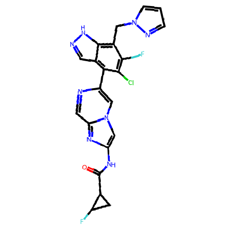 O=C(Nc1cn2cc(-c3c(Cl)c(F)c(Cn4cccn4)c4[nH]ncc34)ncc2n1)C1CC1F